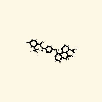 O=C(Nc1ccc(Nc2ccnc3[nH]c(=O)c4c(C(=O)O)cccc4c23)cc1)c1ccc(F)cc1C(F)(F)F